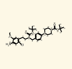 COc1cc(CCN(Cc2ccc(N3CCN(C(=O)OC(C)(C)C)CC3)cc2)C(=O)OC(C)(C)C)c(Cl)cc1N